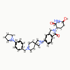 O=C1CCC(N2Cc3cc(N4CC5(CCN(Cc6ccc(N7CCCC7)cc6)CC5)C4)ccc3C2=O)C(=O)N1